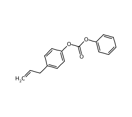 C=CCc1ccc(OC(=O)Oc2ccccc2)cc1